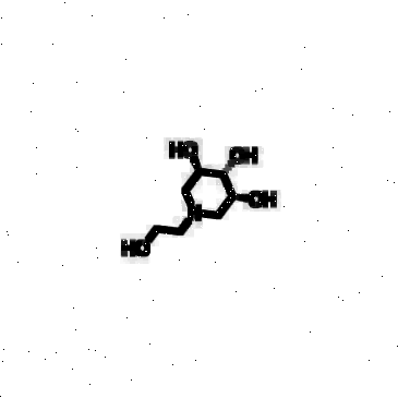 OCCN1C[C@@H](O)[C@H](O)[C@@H](O)C1